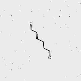 O=CC=CCCC=O